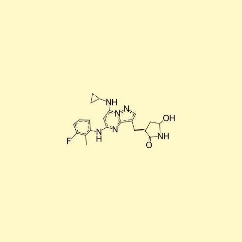 Cc1c(F)cccc1Nc1cc(NC2CC2)n2ncc(/C=C3\CC(O)NC3=O)c2n1